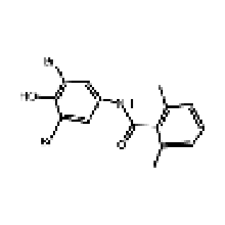 Cc1cccc(C)c1C(=O)Nc1cc(Br)c(O)c(Br)c1